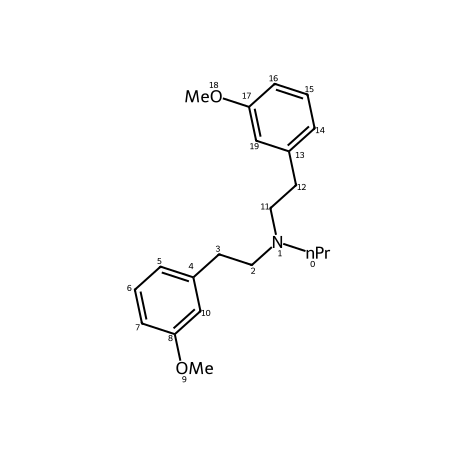 CCCN(CCc1cccc(OC)c1)CCc1cccc(OC)c1